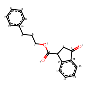 O=C1CC(C(=O)OCCCc2ccccc2)c2ccccc21